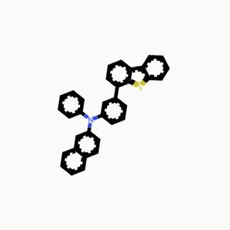 c1ccc(N(c2cccc(-c3cccc4c3sc3ccccc34)c2)c2ccc3ccccc3c2)cc1